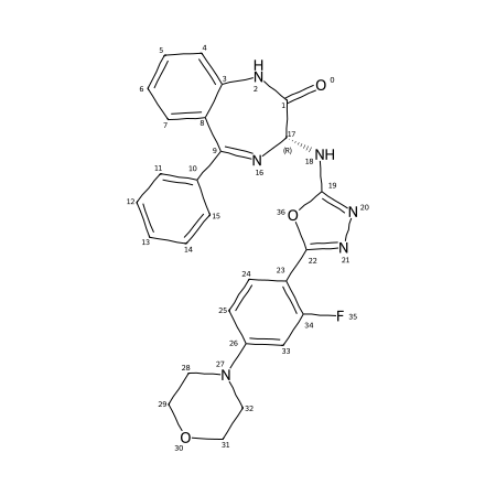 O=C1Nc2ccccc2C(c2ccccc2)=N[C@H]1Nc1nnc(-c2ccc(N3CCOCC3)cc2F)o1